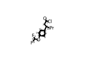 CC(C)C(CC(=O)Cl)c1ccc(OC(F)F)cc1